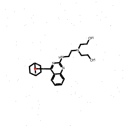 OCCN(CCO)CCNc1nc(N2CC3CCC(CC3)C2)c2ccccc2n1